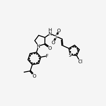 CC(=O)c1ccc(N2CCC(NS(=O)(=O)C=Cc3ccc(Cl)s3)C2=O)c(F)c1